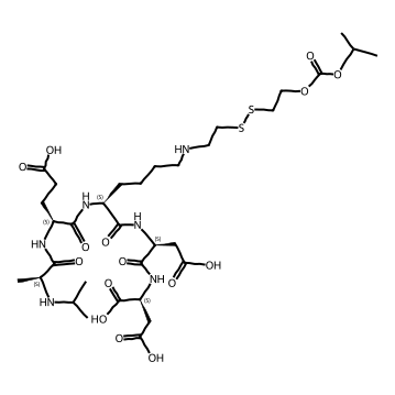 CC(C)N[C@@H](C)C(=O)N[C@@H](CCC(=O)O)C(=O)N[C@@H](CCCCNCCSSCCOC(=O)OC(C)C)C(=O)N[C@@H](CC(=O)O)C(=O)N[C@@H](CC(=O)O)C(=O)O